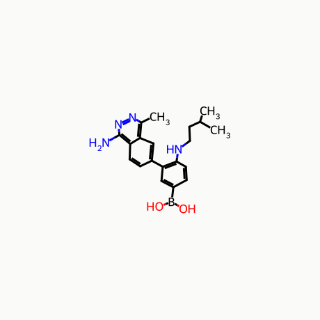 Cc1nnc(N)c2ccc(-c3cc(B(O)O)ccc3NCCC(C)C)cc12